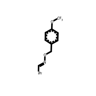 CC(C)C=NOCc1ccc(OC(F)(F)F)cc1